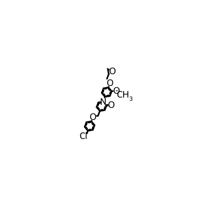 COc1cc(-n2ccc(COc3ccc(Cl)cc3)cc2=O)ccc1OCC1CO1